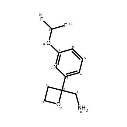 NCC1(c2cccc(OC(F)F)n2)CCO1